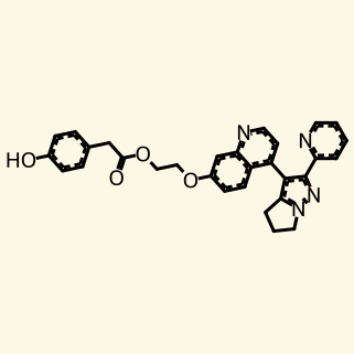 O=C(Cc1ccc(O)cc1)OCCOc1ccc2c(-c3c(-c4ccccn4)nn4c3CCC4)ccnc2c1